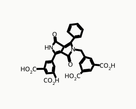 O=C1NC(c2cc(C(=O)O)cc(C(=O)O)c2)=C2C(=O)N(Cc3cc(C(=O)O)cc(C(=O)O)c3)C(c3ccccc3)=C12